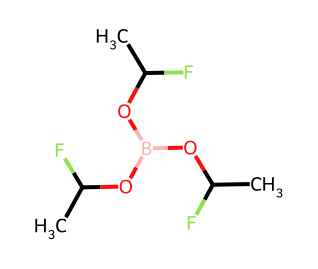 CC(F)OB(OC(C)F)OC(C)F